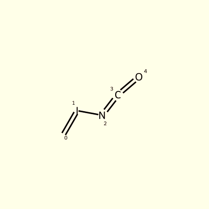 C=IN=C=O